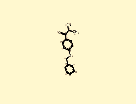 CC(C#N)C(=O)c1ccc(OCc2ccccc2)cc1